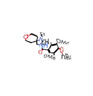 CCCCOc1c(OC)cc(C(=O)NCC2(N(C)CC)CCOCC2)cc1OC